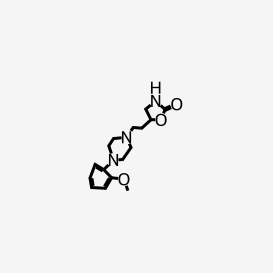 COc1ccccc1N1CCN(CCC2CNC(=O)O2)CC1